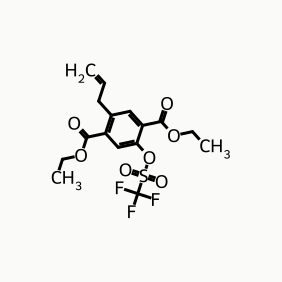 C=CCc1cc(C(=O)OCC)c(OS(=O)(=O)C(F)(F)F)cc1C(=O)OCC